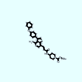 CC(C)(C)OC(=O)N1CCC(NC(=O)C=Cc2cnc(N)c3c(-c4ccc(Oc5ccccc5)cc4)csc23)CC1